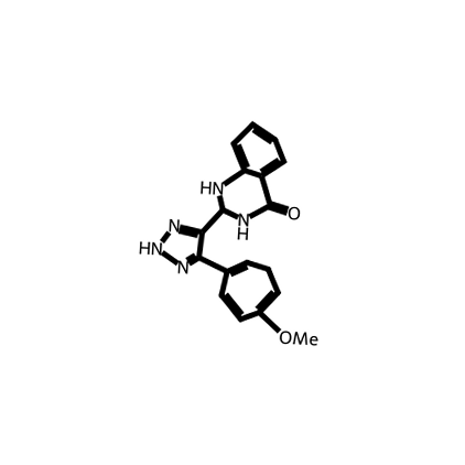 COC1=CCC=C(c2n[nH]nc2C2NC(=O)c3ccccc3N2)C=C1